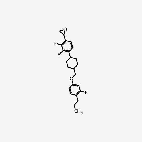 CCCc1ccc(OCC2CCC(c3ccc(C4CO4)c(F)c3F)CC2)cc1F